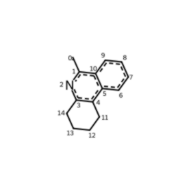 [CH2]c1nc2c(c3ccccc13)CCCC2